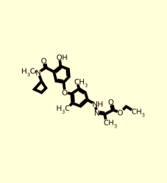 CCOC(=O)C(C)=NNc1cc(C)c(Oc2ccc(O)c(C(=O)N(C)C3CCC3)c2)c(C)c1